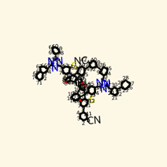 N#Cc1cccc(-c2ccc3c(c2)Sc2cc(-c4nc(-c5cccc(-c6ccccc6)c5)nc(-c5cccc(-c6ccc(C#N)c(-c7ccc8c(c7)Sc7cc(-c9nc(-c%10ccccc%10)nc(-c%10ccc%11ccccc%11c%10)n9)ccc7C87c8ccccc8-c8ccccc87)c6)c5)n4)ccc2C32c3ccccc3-c3ccccc32)c1